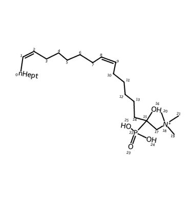 CCCCCCC/C=C\CCCCC/C=C\CCCCCC(O)(C[N+](C)(C)C)P(=O)(O)O